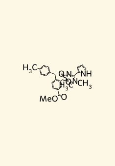 COC(=O)c1ccc(Cc2ccc(C)cc2)c(S(=O)(=O)N=C(c2ccc[nH]2)N(C)C)c1